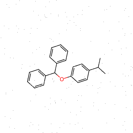 CC(C)c1ccc(OC(c2ccccc2)c2ccccc2)cc1